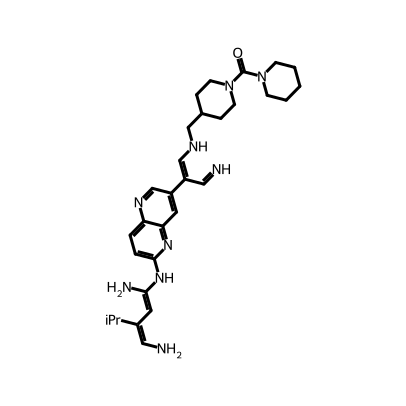 CC(C)C(=C/N)/C=C(\N)Nc1ccc2ncc(/C(C=N)=C/NCC3CCN(C(=O)N4CCCCC4)CC3)cc2n1